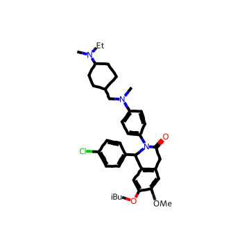 CCC(C)Oc1cc2c(cc1OC)CC(=O)N(c1ccc(N(C)CC3CCC(N(C)CC)CC3)cc1)C2c1ccc(Cl)cc1